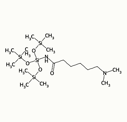 CN(C)CCCCCC(=O)N[Si](O[Si](C)(C)C)(O[Si](C)(C)C)O[Si](C)(C)C